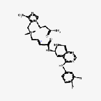 C[N+](C)(C/C=C/C(=O)NC1C=c2c(Nc3ccc(F)c(Br)c3)ncnc2=CN1)Cc1c([N+](=O)[O-])ncn1CCC(N)=O